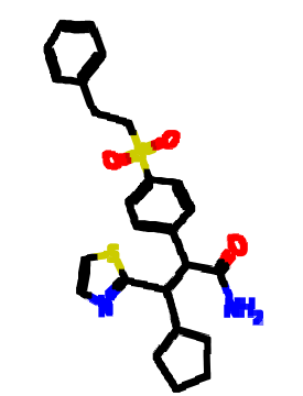 NC(=O)C(c1ccc(S(=O)(=O)CCc2ccccc2)cc1)C(c1nccs1)C1CCCC1